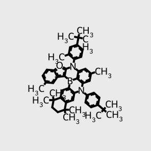 Cc1cc2c3c(c1)N(c1ccc(C(C)(C)C)cc1C)c1oc4ccc(C)cc4c1B3c1cc3c(cc1N2c1ccc(C(C)(C)C)cc1)C(C)(C)CCC3(C)C